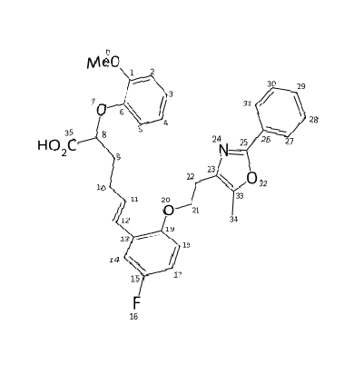 COc1ccccc1OC(CCC=Cc1cc(F)ccc1OCCc1nc(-c2ccccc2)oc1C)C(=O)O